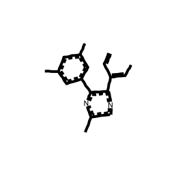 C=C/C(=C\C)c1ncc(C)nc1-c1cc(C)cc(C)c1